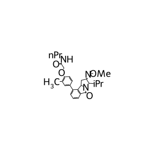 CCCNC(=O)COc1ccc(-c2cccc3c2C2CC(=NOC)C(C(C)C)N2C3=O)cc1C